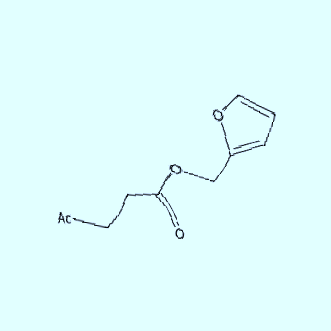 CC(=O)CCC(=O)OCc1ccco1